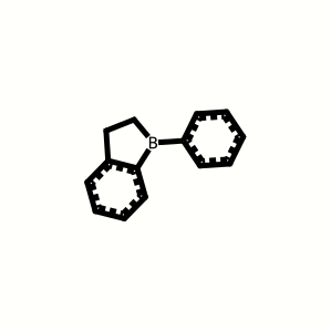 c1ccc(B2CCc3ccccc32)cc1